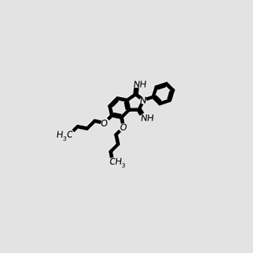 CCCCOc1ccc2c(c1OCCCC)C(=N)N(c1ccccc1)C2=N